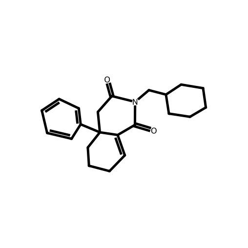 O=C1CC2(c3ccccc3)CCCC=C2C(=O)N1CC1CCCCC1